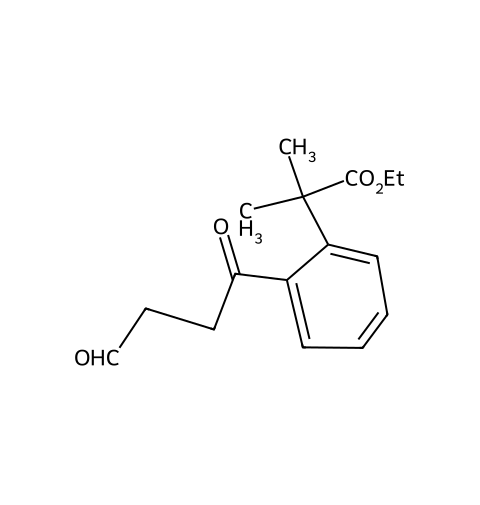 CCOC(=O)C(C)(C)c1ccccc1C(=O)CCC=O